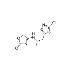 CC(Cc1cnc(Cl)s1)NC1=NC(=O)OC1